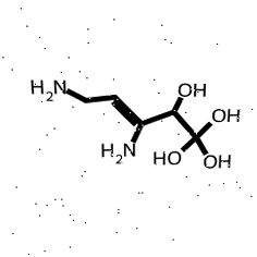 NCC=C(N)C(O)C(O)(O)O